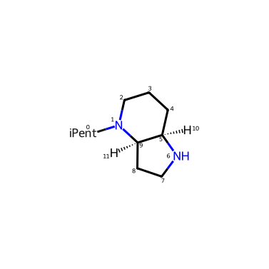 CCCC(C)N1CCC[C@H]2NCC[C@H]21